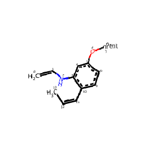 C=CNc1cc(OCCCCC)ccc1/C=C\C